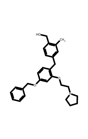 Cc1cc(Cc2[c]cc(OCc3ccccc3)cc2OCCN2CCCC2)ccc1CO